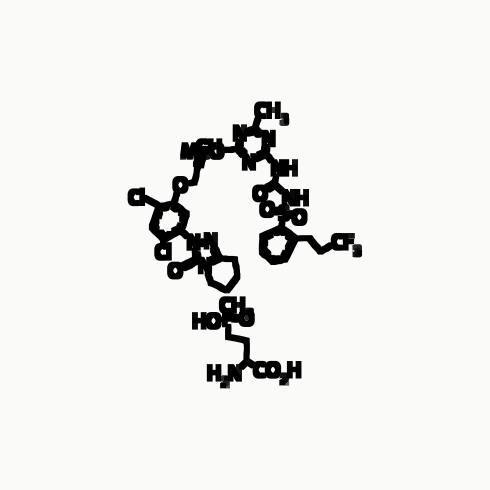 C#CCOc1cc(-n2nc3n(c2=O)CCCC3)c(Cl)cc1Cl.COc1nc(C)nc(NC(=O)NS(=O)(=O)c2ccccc2CCC(F)(F)F)n1.CP(=O)(O)CCC(N)C(=O)O